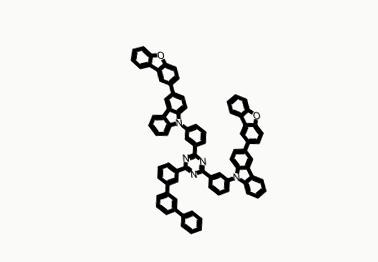 c1ccc(-c2cccc(-c3cccc(-c4nc(-c5cccc(-n6c7ccccc7c7cc(-c8ccc9oc%10ccccc%10c9c8)ccc76)c5)nc(-c5cccc(-n6c7ccccc7c7cc(-c8ccc9oc%10ccccc%10c9c8)ccc76)c5)n4)c3)c2)cc1